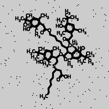 CCCCCCCC(CC(=O)O)SCC(OC(=O)C(c1c(C)cc(C(C)(C)C)c(O)c1C)C(CCCCCOC(=O)Cc1c(C)cc(C(C)(C)C)c(O)c1C)OC(=O)Cc1c(C)cc(C(C)(C)C)c(O)c1C)c1c(C)cc(C(C)(C)C)c(O)c1C